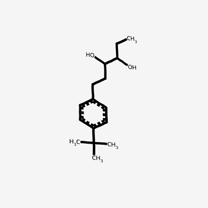 CCC(O)C(O)CCc1ccc(C(C)(C)C)cc1